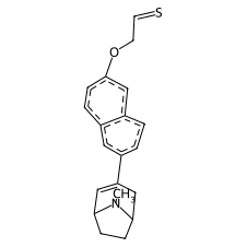 CN1C2C=C(c3ccc4cc(OCC=S)ccc4c3)CC1CC2